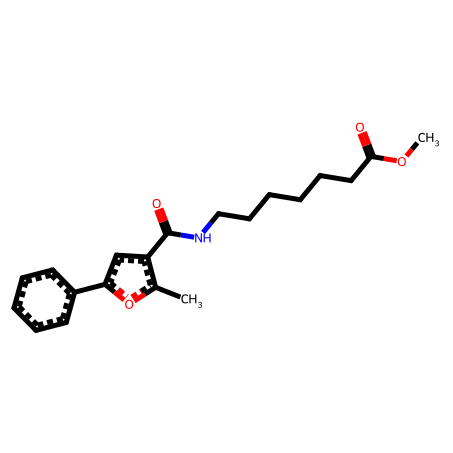 COC(=O)CCCCCCNC(=O)c1cc(-c2ccccc2)oc1C